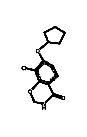 O=C1NCOc2c1ccc(OC1CCCC1)c2Cl